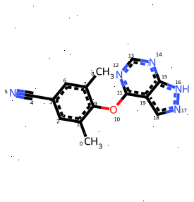 Cc1cc(C#N)cc(C)c1Oc1ncnc2[nH]ncc12